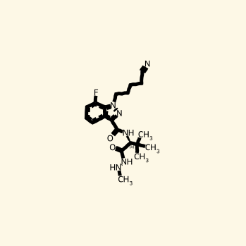 CNNC(=O)[C@@H](NC(=O)c1nn(CCCCC#N)c2c(F)cccc12)C(C)(C)C